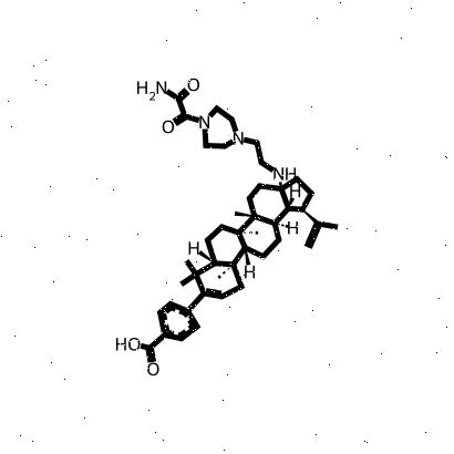 C=C(C)[C@@H]1CC[C@]2(NCCN3CCN(C(=O)C(N)=O)CC3)CC[C@]3(C)[C@H](CC[C@@H]4[C@@]5(C)CC=C(c6ccc(C(=O)O)cc6)C(C)(C)[C@@H]5CC[C@]43C)[C@@H]12